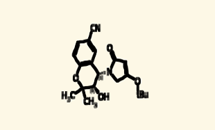 CC(C)(C)OC1=CC(=O)N([C@H]2c3cc(C#N)ccc3OC(C)(C)[C@@H]2O)C1